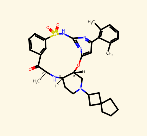 Cc1cccc(C)c1-c1cc2nc(n1)NS(=O)(=O)c1cccc(c1)C(=O)[C@@H](C)N[C@@H]1CCN(C3CC4(CCCC4)C3)C[C@H]1O2